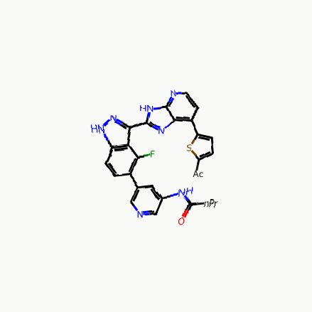 CCCC(=O)Nc1cncc(-c2ccc3[nH]nc(-c4nc5c(-c6ccc(C(C)=O)s6)ccnc5[nH]4)c3c2F)c1